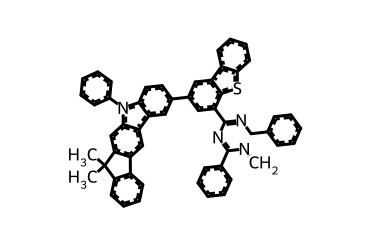 C=N/C(=N\C(=N/Cc1ccccc1)c1cc(-c2ccc3c(c2)c2cc4c(cc2n3-c2ccccc2)C(C)(C)c2ccccc2-4)cc2c1sc1ccccc12)c1ccccc1